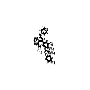 Nc1ncnn2c(CN3CCOCC3)cc(-c3ccc(NC(=O)Nc4cccc(Cl)c4)c(Cl)c3)c12